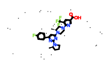 C[C@@H]1CN(c2ncc(C(=O)O)cc2C(F)(F)F)CCN1c1cc(-c2ccc(F)cc2)nc(N2CCC[C@H]2C)n1